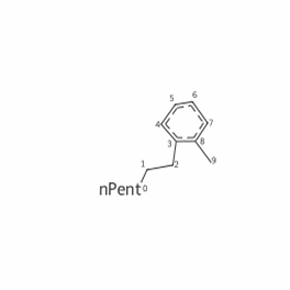 CC[CH]CCCCc1ccccc1C